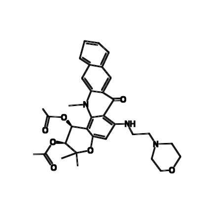 CC(=O)O[C@H]1c2c(cc(NCCN3CCOCC3)c3c(=O)c4cc5ccccc5cc4n(C)c23)OC(C)(C)[C@H]1OC(C)=O